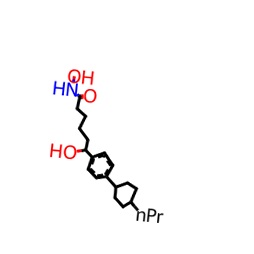 CCCC1CCC(c2ccc(C(O)CCCCC(=O)NO)cc2)CC1